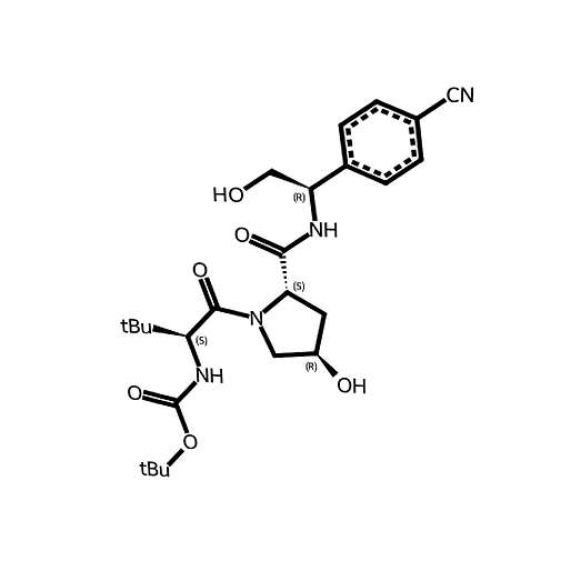 CC(C)(C)OC(=O)N[C@H](C(=O)N1C[C@H](O)C[C@H]1C(=O)N[C@@H](CO)c1ccc(C#N)cc1)C(C)(C)C